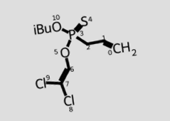 C=CCP(=S)(OC=C(Cl)Cl)OCC(C)C